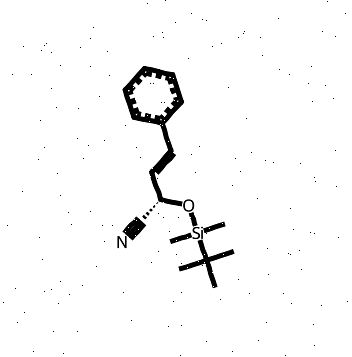 CC(C)(C)[Si](C)(C)O[C@H](C#N)C=Cc1ccccc1